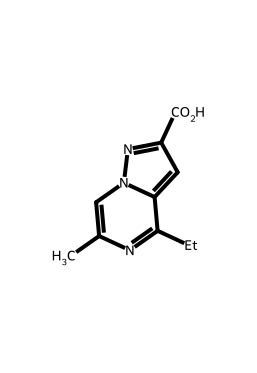 CCc1nc(C)cn2nc(C(=O)O)cc12